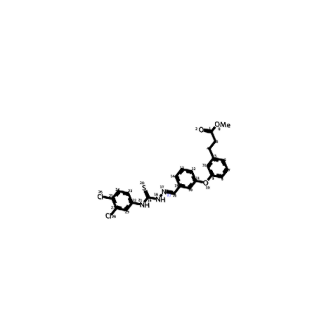 COC(=O)CCc1cccc(Oc2cccc(/C=N/NC(=S)Nc3ccc(Cl)c(Cl)c3)c2)c1